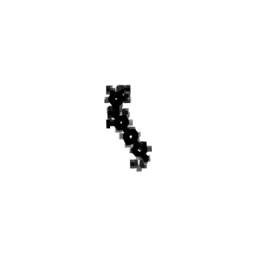 CCC1CCC(c2ccc(-c3cc(F)c(C(F)(F)Oc4cc(F)c(O)c(F)c4)c(F)c3)cc2)OC1